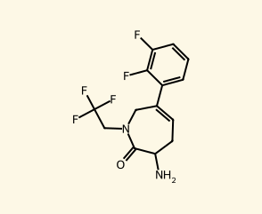 NC1CC=C(c2cccc(F)c2F)CN(CC(F)(F)F)C1=O